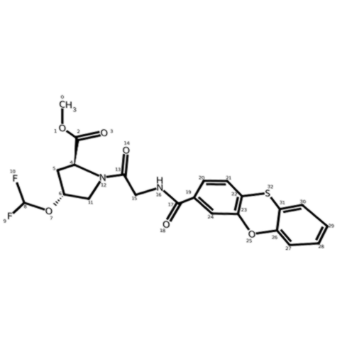 COC(=O)[C@@H]1C[C@@H](OC(F)F)CN1C(=O)CNC(=O)c1ccc2c(c1)Oc1ccccc1S2